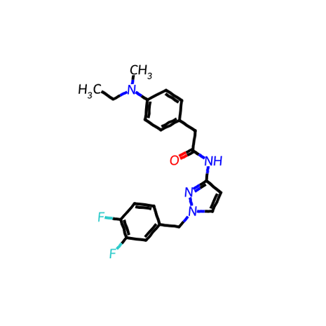 CCN(C)c1ccc(CC(=O)Nc2ccn(Cc3ccc(F)c(F)c3)n2)cc1